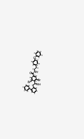 [NH]C(Cc1ccccc1-c1ccccc1)c1c(Br)cc(C(=O)NCCc2ccc(Oc3ccccc3)cc2)cc1Br